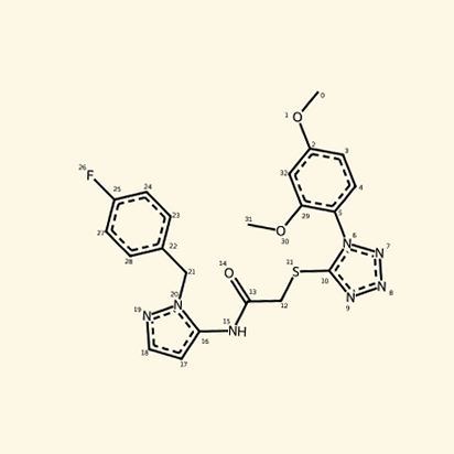 COc1ccc(-n2nnnc2SCC(=O)Nc2ccnn2Cc2ccc(F)cc2)c(OC)c1